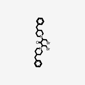 O=C(C(CBr)N1CCC(Cc2ccccc2)CC1)C(CBr)N1CCC(Cc2ccccc2)CC1